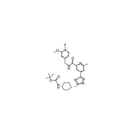 COc1cc(CNC(=O)c2cc(-c3nnn(C[C@H]4CC[C@@H](NC(=O)OC(C)(C)C)CC4)n3)cc(C)n2)ccc1F